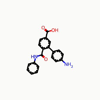 Nc1ccc(-c2cc(C(=O)O)ccc2C(=O)Nc2ccccc2)cc1